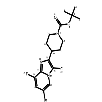 CC(C)(C)OC(=O)N1CCC(c2nc3c(F)cc(Br)cn3c2Cl)CC1